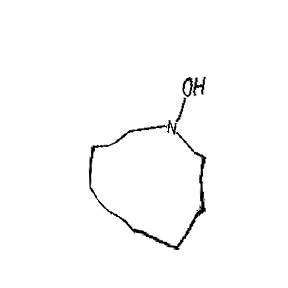 ON1CCCCCCC1